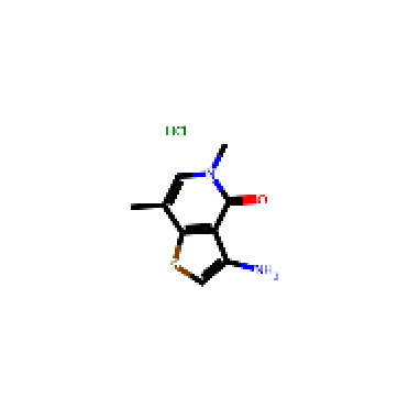 Cc1cn(C)c(=O)c2c(N)csc12.Cl